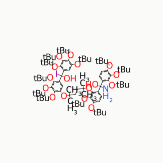 CC(C)(C)Oc1ccc(C(N)(O)c2ccc(OC(C)(C)C)c(OC(C)(C)C)c2OC(C)(C)CCC(C)(C)Oc2cc(C(O)(I)c3cc(OC(C)(C)C)c(OC(C)(C)C)c(OC(C)(C)C)c3OC(C)(C)C)c(OC(C)(C)C)c(OC(C)(C)C)c2OC(C)(C)C)c(OC(C)(C)C)c1OC(C)(C)C